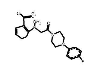 C=C(Cl)C1=C(N(N)CC(=O)N2CCN(c3ccc(F)cc3)CC2)CCC=C1